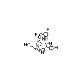 N#CCCC[C@H](Cn1cc(-c2ncnc3[nH]ccc23)cn1)N1CCN(C(=O)Nc2ccc(F)cc2C(F)(F)F)CC1